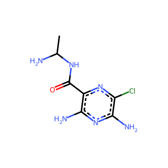 CC(N)NC(=O)c1nc(Cl)c(N)nc1N